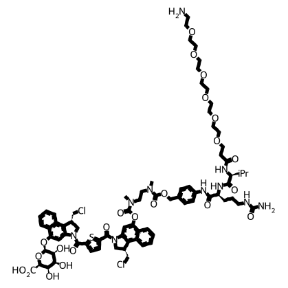 CC(C)[C@H](NC(=O)CCOCCOCCOCCOCCOCCOCCN)C(=O)N[C@@H](CCCNC(N)=O)C(=O)Nc1ccc(COC(=O)N(C)CCN(C)C(=O)Oc2cc3c(c4ccccc24)[C@H](CCl)CN3C(=O)c2ccc(C(=O)N3C[C@@H](CCl)c4c3cc(O[C@@H]3O[C@H](C(=O)O)[C@@H](O)[C@H](O)[C@H]3O)c3ccccc43)s2)cc1